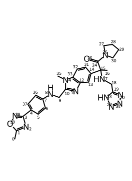 Cc1nc(-c2ccc(NCc3nc4cc(C(C)(NCc5nnn[nH]5)C(=O)N5CCCC5)ccc4n3C)cc2)no1